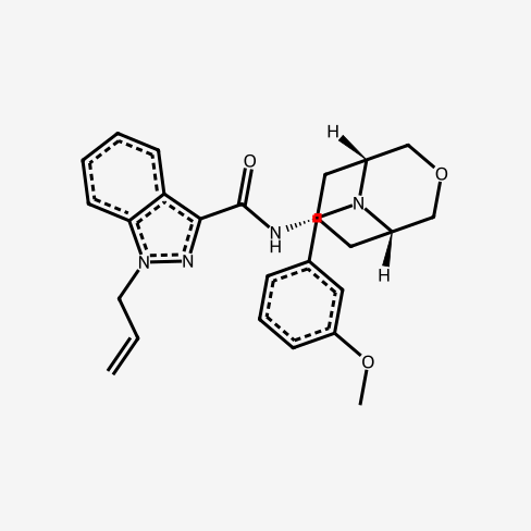 C=CCn1nc(C(=O)N[C@H]2C[C@H]3COC[C@@H](C2)N3Cc2cccc(OC)c2)c2ccccc21